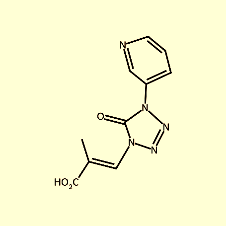 CC(=Cn1nnn(-c2cccnc2)c1=O)C(=O)O